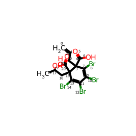 C=CCC1(C(=O)O)C(Br)=C(Br)C(Br)=C(Br)C1(CC(C)O)C(=O)O